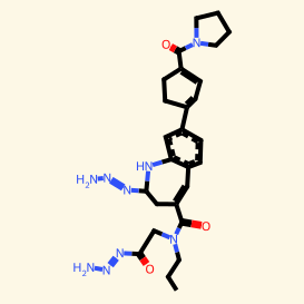 CCCN(CC(=O)N=NN)C(=O)C1=Cc2ccc(C3=CC=C(C(=O)N4CCCC4)CC3)cc2NC(N=NN)C1